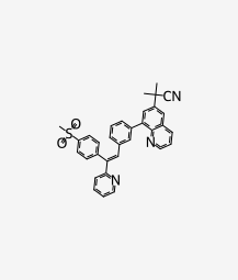 CC(C)(C#N)c1cc(-c2cccc(/C=C(\c3ccc(S(C)(=O)=O)cc3)c3ccccn3)c2)c2ncccc2c1